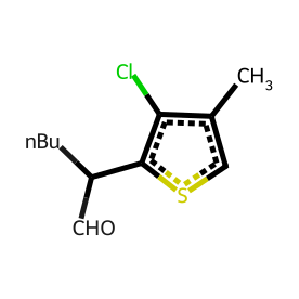 CCCCC(C=O)c1scc(C)c1Cl